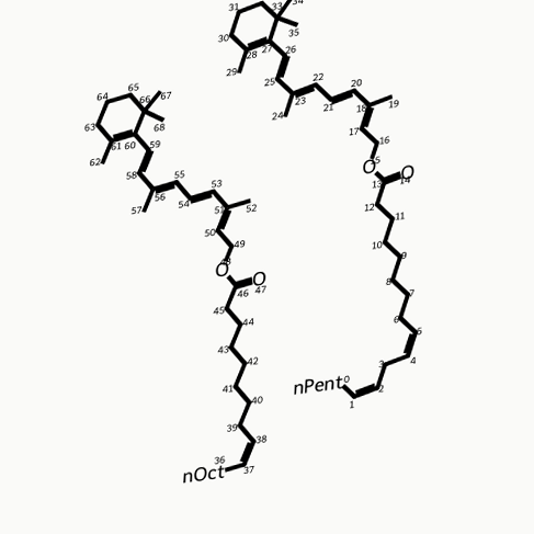 CCCCC/C=C\C/C=C\CCCCCCCC(=O)OCC=C(C)C=CC=C(C)C=CC1=C(C)CCCC1(C)C.CCCCCCCC/C=C\CCCCCCCC(=O)OCC=C(C)C=CC=C(C)C=CC1=C(C)CCCC1(C)C